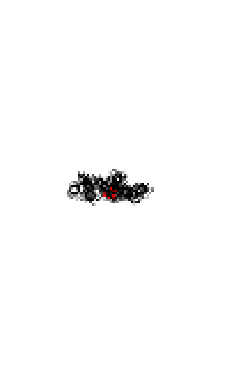 c1ccc(-c2nnn(-c3ccc4c(c3)c3ccccc3n4-c3ccccc3-n3c4ccccc4c4cc5oc6ccccc6c5cc43)c2-c2ccccc2)cc1